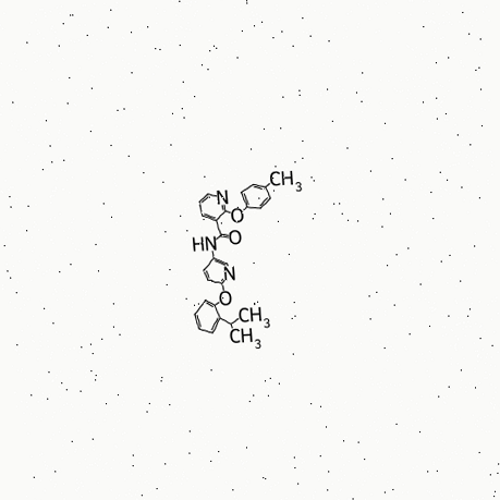 Cc1ccc(Oc2ncccc2C(=O)Nc2ccc(Oc3ccccc3C(C)C)nc2)cc1